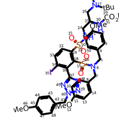 COc1ccc(CN(Cc2ccc(OC)cc2)S(=O)(=O)c2c(S(=O)(=O)NCC(CN(C(=O)O)C(C)(C)C)NC(=O)O)ccc(I)c2-c2nnn(Cc3ccc(OC)cc3)n2)cc1